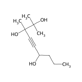 CCCC(O)C#CC(C)(O)C(C)(C)O